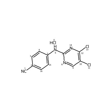 Cl.N#Cc1ccc(Nc2ncc(Cl)c(Cl)n2)cc1